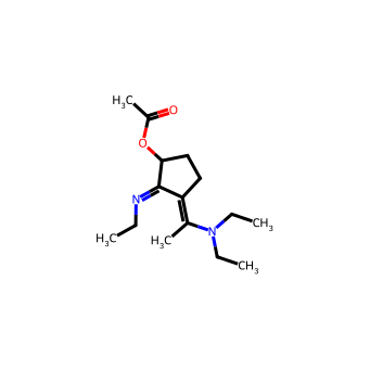 CC/N=C1\C(=C(/C)N(CC)CC)CCC1OC(C)=O